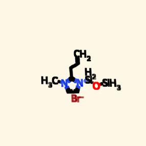 C=CCc1n(C)cc[n+]1[SiH2]O[SiH3].[Br-]